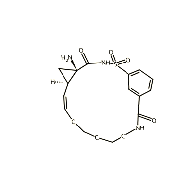 N[C@]12C[C@@H]1/C=C\CCCCCNC(=O)c1cccc(c1)S(=O)(=O)NC2=O